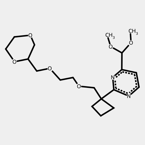 COC(OC)c1ccnc(C2(COCCOCC3COCCO3)CCC2)n1